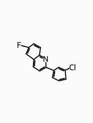 Fc1ccc2nc(-c3cccc(Cl)c3)ccc2c1